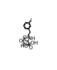 O=P(O)(O)C(NCCc1cccc(I)c1)P(=O)(O)O